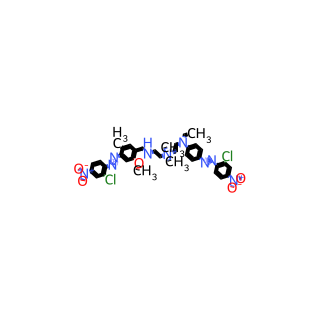 CCN(CC[N+](C)(C)CCNCc1cc(C)c(/N=N/c2ccc([N+](=O)[O-])cc2Cl)cc1OC)c1ccc(/N=N/c2ccc([N+](=O)[O-])cc2Cl)cc1